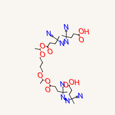 CC(OCCCCOC(C)OC(=O)CCC(C)(C#N)/N=N\C(C)(C#N)CCC(=O)O)OC(=O)CCC(C)(C#N)/N=N\C(C)(C#N)CCC(=O)O